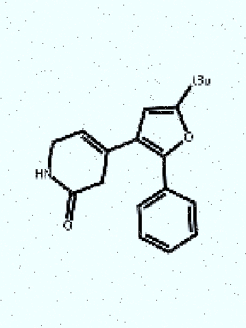 CC(C)(C)c1cc(C2=CCNC(=O)C2)c(-c2ccccc2)o1